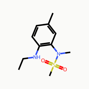 CCNc1ccc(C)cc1N(C)S(C)(=O)=O